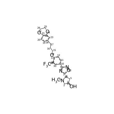 CN1C[C@H](O)C[C@H]1c1nc(-c2ccc(OCCCc3ccc4c(c3)OCCO4)c(C(F)(F)F)c2)no1